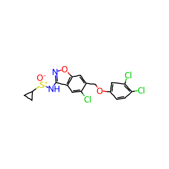 [O-][S+](Nc1noc2cc(COc3ccc(Cl)c(Cl)c3)c(Cl)cc12)C1CC1